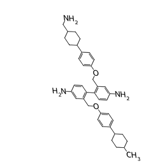 CC1CCC(c2ccc(OCc3cc(N)ccc3-c3ccc(N)cc3COc3ccc(C4CCC(CN)CC4)cc3)cc2)CC1